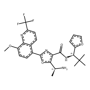 COc1ccc(-c2nc(C(=O)N[C@@H](c3ccco3)C(C)(C)C)c([C@H](C)N)o2)c2ccc(C(F)(F)F)nc12